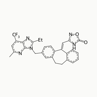 CCc1nc2c(C(F)(F)F)cc(C)nc2n1Cc1ccc2c(c1)CCc1ccccc1C2=Cc1noc(=O)[nH]1